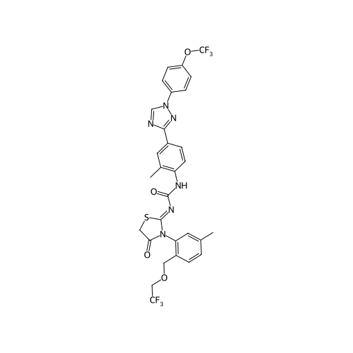 Cc1ccc(COCC(F)(F)F)c(N2C(=O)CS/C2=N\C(=O)Nc2ccc(-c3ncn(-c4ccc(OC(F)(F)F)cc4)n3)cc2C)c1